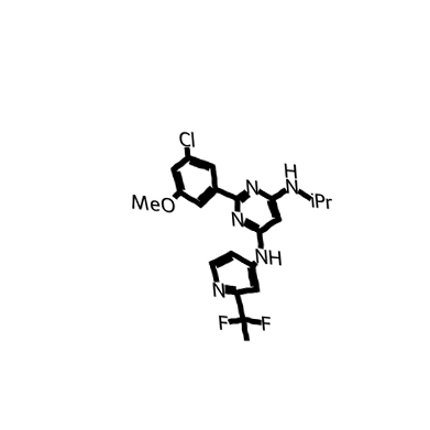 COc1cc(Cl)cc(-c2nc(Nc3ccnc(C(C)(F)F)c3)cc(NC(C)C)n2)c1